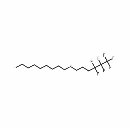 [CH2]CCCCCCCCSCCCC(F)(F)C(F)(F)C(F)(F)F